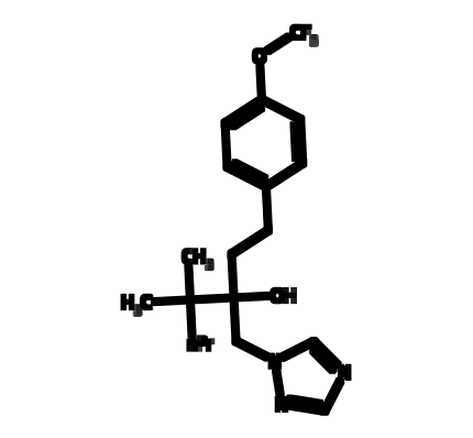 CCCC(C)(C)C(O)(CCc1ccc(OC(F)(F)F)cc1)Cn1cncn1